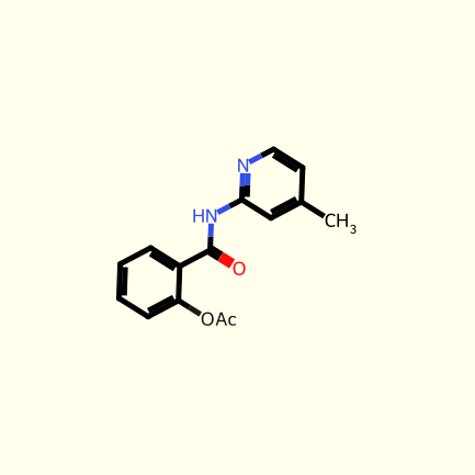 CC(=O)Oc1ccccc1C(=O)Nc1cc(C)ccn1